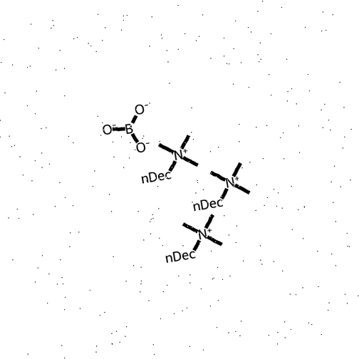 CCCCCCCCCC[N+](C)(C)C.CCCCCCCCCC[N+](C)(C)C.CCCCCCCCCC[N+](C)(C)C.[O-]B([O-])[O-]